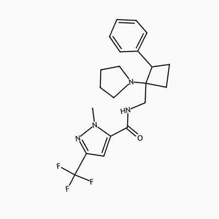 Cn1nc(C(F)(F)F)cc1C(=O)NCC1(N2CCCC2)CCC1c1ccccc1